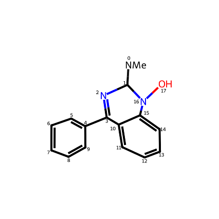 CNC1N=C(c2ccccc2)c2ccccc2N1O